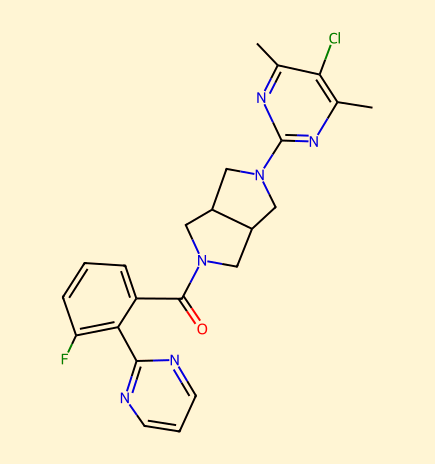 Cc1nc(N2CC3CN(C(=O)c4cccc(F)c4-c4ncccn4)CC3C2)nc(C)c1Cl